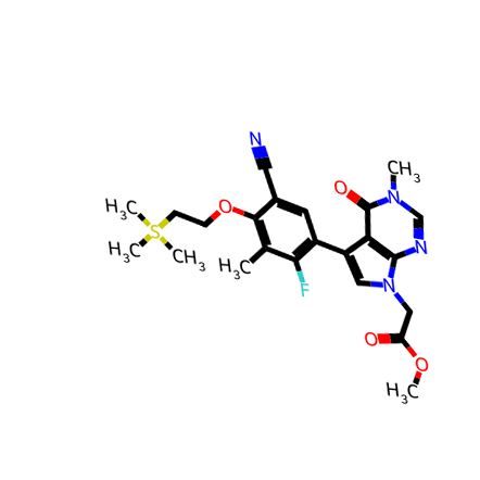 COC(=O)Cn1cc(-c2cc(C#N)c(OCCS(C)(C)C)c(C)c2F)c2c(=O)n(C)cnc21